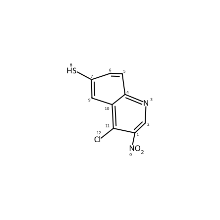 O=[N+]([O-])c1cnc2ccc(S)cc2c1Cl